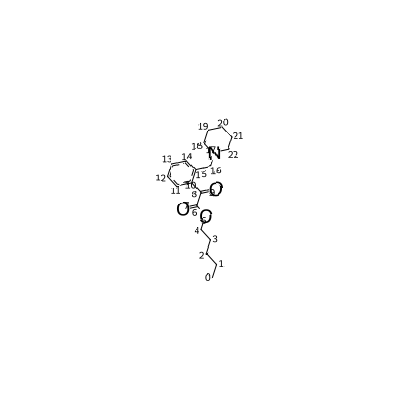 CCCCCOC(=O)C(=O)c1ccccc1CN1CCCCC1